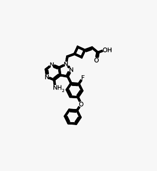 Nc1ncnc2c1c(-c1ccc(Oc3ccccc3)cc1F)nn2CC1CC(=CC(=O)O)C1